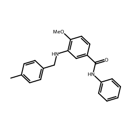 COc1ccc(C(=O)Nc2ccccc2)cc1NCc1ccc(C)cc1